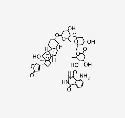 C[C@H]1O[C@@H](O[C@H]2[C@@H](O)C[C@H](O[C@H]3[C@@H](O)C[C@H](O[C@H]4CC[C@@]5(C)[C@H](CC[C@@H]6[C@@H]5C[C@@H](O)[C@]5(C)[C@@H](C7=CC(=O)OC7)CC[C@]65O)C4)O[C@@H]3C)O[C@@H]2C)C[C@H](O)[C@@H]1O.Nc1cccc2c(=O)[nH][nH]c(=O)c12